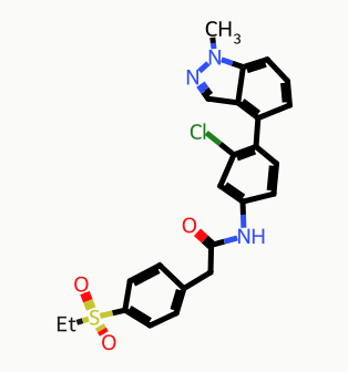 CCS(=O)(=O)c1ccc(CC(=O)Nc2ccc(-c3cccc4c3cnn4C)c(Cl)c2)cc1